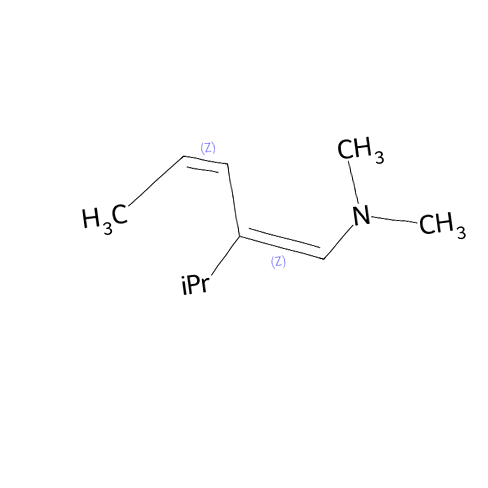 C/C=C\C(=C/N(C)C)C(C)C